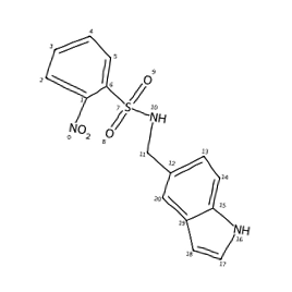 O=[N+]([O-])c1ccccc1S(=O)(=O)NCc1ccc2[nH]ccc2c1